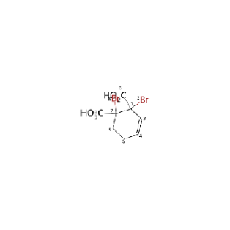 O=C(O)C1(Br)C=CCCC1(Br)C(=O)O